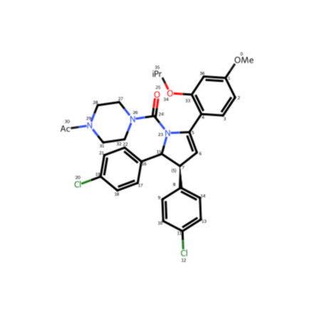 COc1ccc(C2=C[C@@H](c3ccc(Cl)cc3)C(c3ccc(Cl)cc3)N2C(=O)N2CCN(C(C)=O)CC2)c(OC(C)C)c1